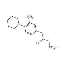 CCOC(=O)CC(Cl)Cc1ccc(C2CCCCC2)c([N+](=O)[O-])c1